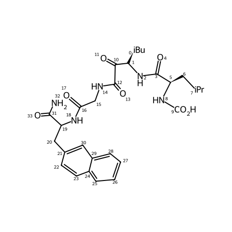 CC[C@H](C)C(NC(=O)[C@@H](CC(C)C)NC(=O)O)C(=O)C(=O)NCC(=O)NC(Cc1ccc2ccccc2c1)C(N)=O